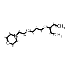 CCC(CC)OCCCOCCN1CCOCC1